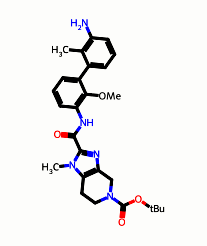 COc1c(NC(=O)c2nc3c(n2C)CCN(C(=O)OC(C)(C)C)C3)cccc1-c1cccc(N)c1C